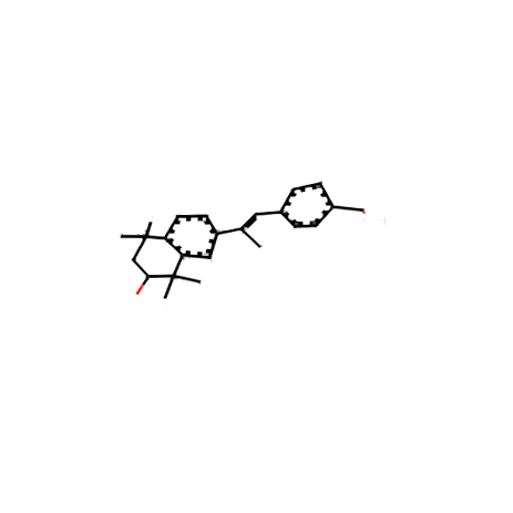 CC(=Cc1ccc(CO)cc1)c1ccc2c(c1)C(C)(C)C(O)CC2(C)C